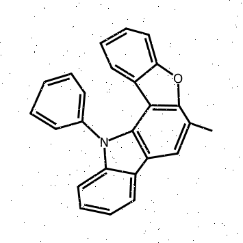 Cc1cc2c3ccccc3n(-c3ccccc3)c2c2c1oc1ccccc12